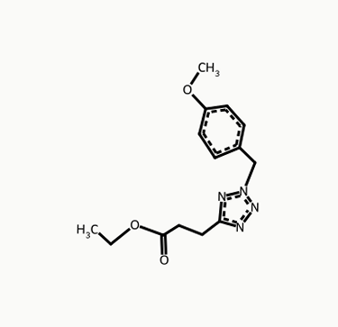 CCOC(=O)CCc1nnn(Cc2ccc(OC)cc2)n1